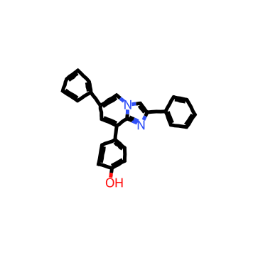 Oc1ccc(-c2cc(-c3ccccc3)cn3cc(-c4ccccc4)nc23)cc1